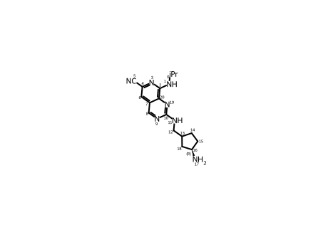 CC(C)Nc1nc(C#N)cc2cnc(NCC3CC[C@@H](N)C3)nc12